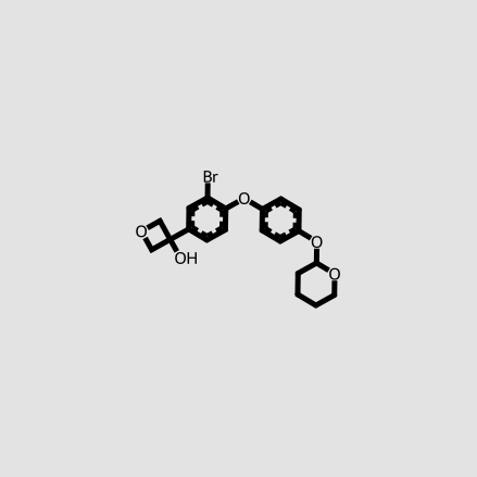 OC1(c2ccc(Oc3ccc(OC4CCCCO4)cc3)c(Br)c2)COC1